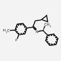 Cc1ccc(/C(CC2CC2)=N/[C@@H](C)c2ccccc2)cc1F